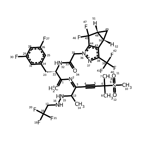 C=C(/N=C(/C#CC(C)(C)S(C)(=O)=O)C(C)NNCC(F)(F)F)[C@H](Cc1cc(F)cc(F)c1)NC(=O)Cn1nc(C(F)(F)F)c2c1C(F)(F)[C@@H]1C[C@H]21